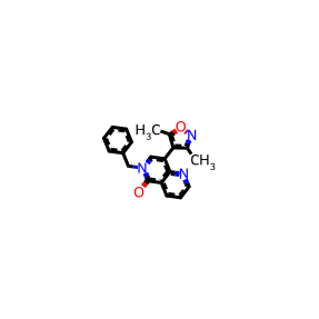 Cc1noc(C)c1-c1cn(Cc2ccccc2)c(=O)c2cccnc12